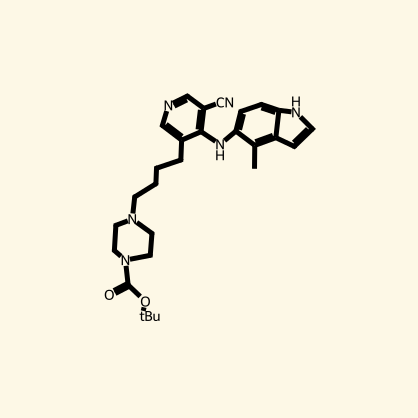 Cc1c(Nc2c(C#N)cncc2CCCCN2CCN(C(=O)OC(C)(C)C)CC2)ccc2[nH]ccc12